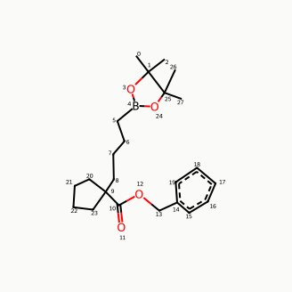 CC1(C)OB(CCCCC2(C(=O)OCc3ccccc3)CCCC2)OC1(C)C